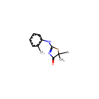 CC(C)C1(C)SC(Nc2ccccc2C(F)(F)F)=NC1=O